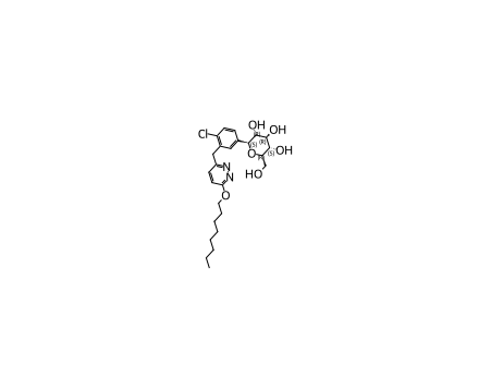 CCCCCCCCOc1ccc(Cc2cc([C@@H]3O[C@H](CO)[C@@H](O)[C@H](O)[C@H]3O)ccc2Cl)nn1